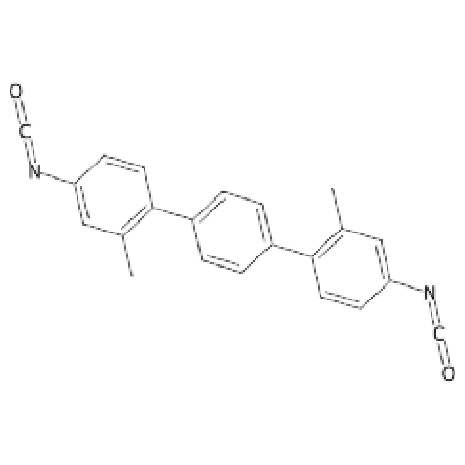 Cc1cc(N=C=O)ccc1-c1ccc(-c2ccc(N=C=O)cc2C)cc1